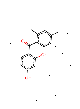 Cc1ccc(C(=O)c2ccc(O)cc2O)c(C)c1